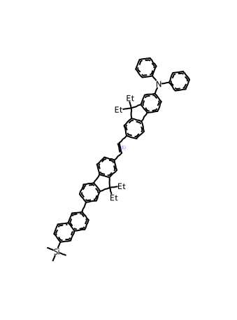 CCC1(CC)c2cc(/C=C/c3ccc4c(c3)C(CC)(CC)c3cc(N(c5ccccc5)c5ccccc5)ccc3-4)ccc2-c2ccc(-c3ccc4cc([Si](C)(C)C)ccc4c3)cc21